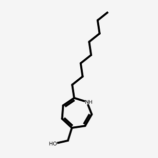 CCCCCCCCC1=CC=C(CO)C=CN1